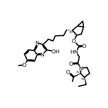 CC[C@@H]1CCN(C(=O)CNC(=O)OC2CC3CC3[C@H]2CCCCCc2nc3ccc(OC)cc3nc2O)[C@@H]1C(C)=O